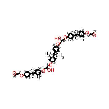 CC(C)(c1ccc(OCC(O)COc2ccc(C(C)(C)c3ccc(OCC4CO4)cc3)cc2)cc1)c1ccc(OCC(O)COc2ccc(C(C)(C)c3ccc(OC[C@@H]4CO4)cc3)cc2)cc1